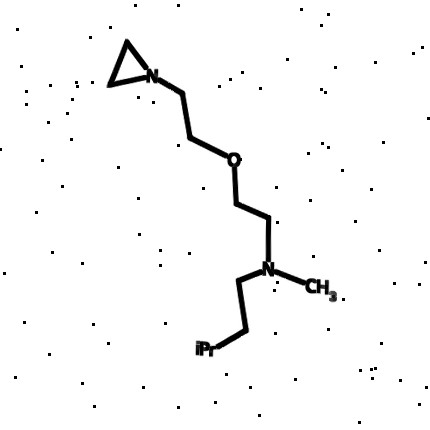 CC(C)CCN(C)CCOCCN1CC1